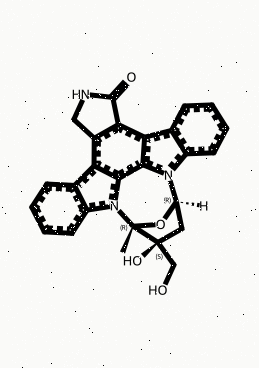 C[C@@]12O[C@H](C[C@]1(O)CO)n1c3ccccc3c3c4c(c5c6ccccc6n2c5c31)CNC4=O